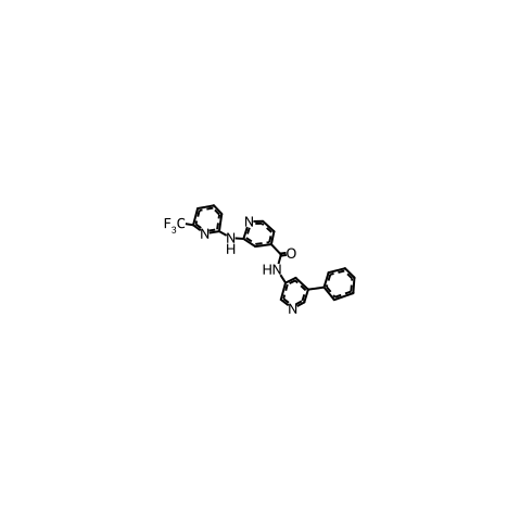 O=C(Nc1cncc(-c2ccccc2)c1)c1ccnc(Nc2cccc(C(F)(F)F)n2)c1